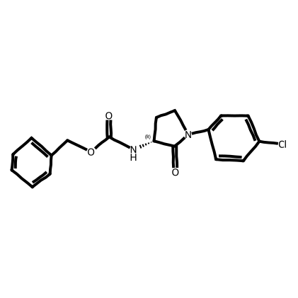 O=C(N[C@@H]1CCN(c2ccc(Cl)cc2)C1=O)OCc1ccccc1